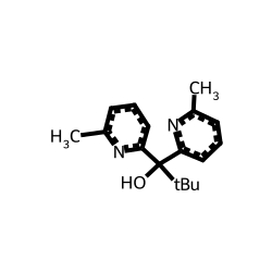 Cc1cccc(C(O)(c2cccc(C)n2)C(C)(C)C)n1